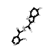 Nc1cnccc1C(=O)NNC(=O)c1cc2cc(Cl)ccc2[nH]1